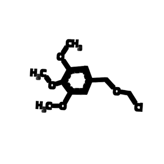 COc1cc(COCCl)cc(OC)c1OC